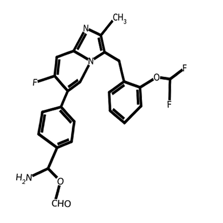 Cc1nc2cc(F)c(-c3ccc(C(N)OC=O)cc3)cn2c1Cc1ccccc1OC(F)F